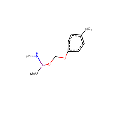 COP(NC(C)C)OCOc1ccc([N+](=O)[O-])cc1